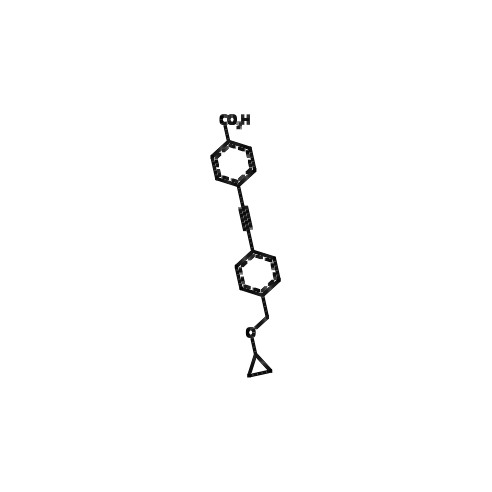 O=C(O)c1ccc(C#Cc2ccc(COC3CC3)cc2)cc1